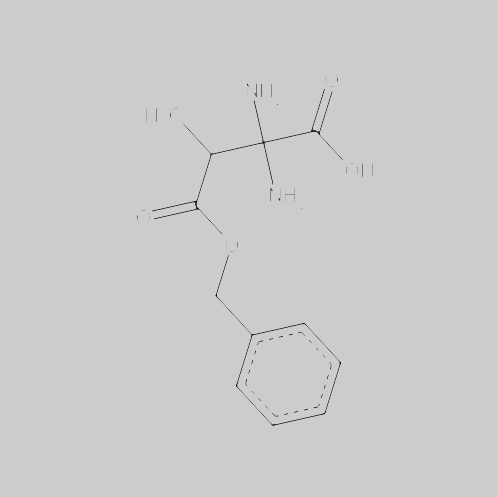 CC(C(=O)OCc1ccccc1)C(N)(N)C(=O)O